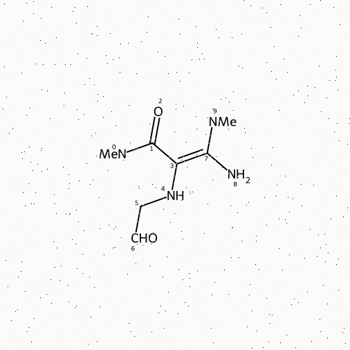 CNC(=O)/C(NCC=O)=C(/N)NC